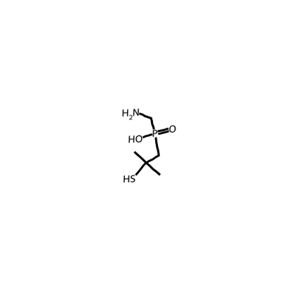 CC(C)(S)CP(=O)(O)CN